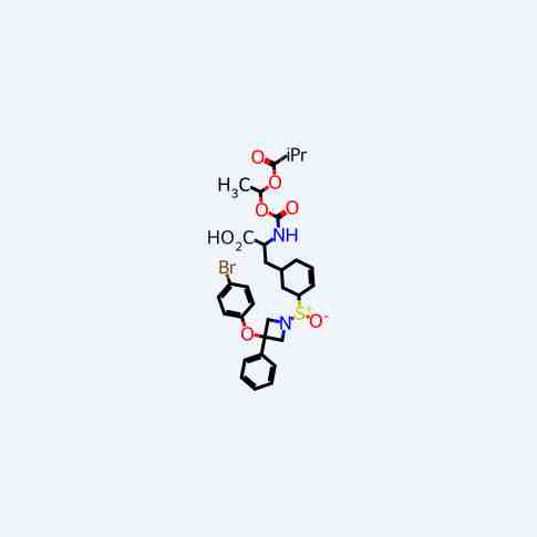 CC(OC(=O)NC(CC1CC=CC([S+]([O-])N2CC(Oc3ccc(Br)cc3)(c3ccccc3)C2)C1)C(=O)O)OC(=O)C(C)C